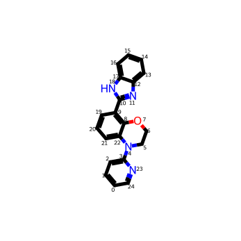 c1ccc(N2CCOc3c(-c4nc5ccccc5[nH]4)cccc32)nc1